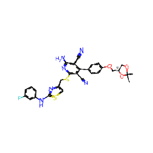 CC1(C)OC[C@H](COc2ccc(-c3c(C#N)c(N)nc(SCc4csc(Nc5cccc(F)c5)n4)c3C#N)cc2)O1